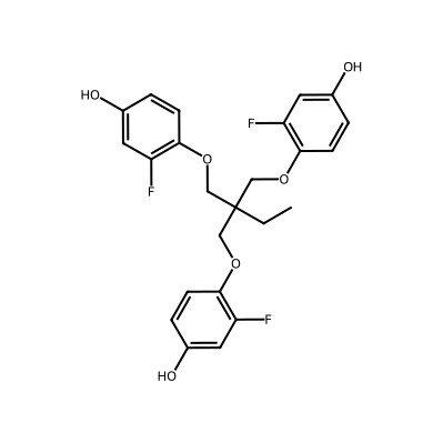 CCC(COc1ccc(O)cc1F)(COc1ccc(O)cc1F)COc1ccc(O)cc1F